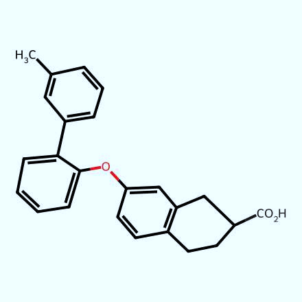 Cc1cccc(-c2ccccc2Oc2ccc3c(c2)CC(C(=O)O)CC3)c1